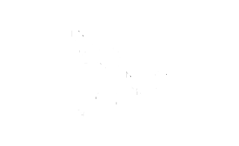 CC1(O)CN(c2ccc(S(N)(=O)=O)c(F)c2)C(c2ccc(Br)cc2)=N1